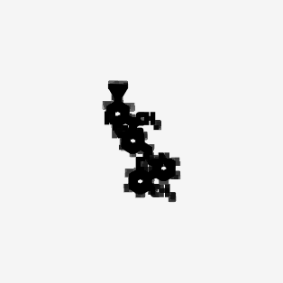 C=C(c1cccc(CNc2ncccc2-c2c(C)cccc2F)c1)c1cc(C2CC2)cnc1NC